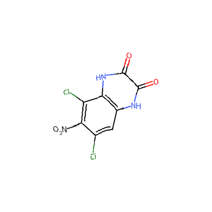 O=c1[nH]c2cc(Cl)c([N+](=O)[O-])c(Cl)c2[nH]c1=O